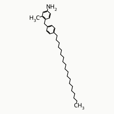 CCCCCCCCCCCCCCCCCCCCc1ccc(Cc2ccc(N)cc2C)cc1